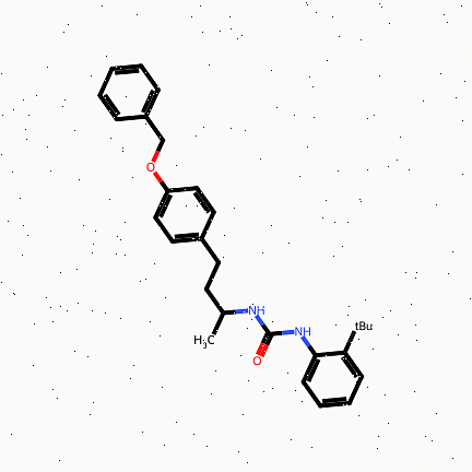 CC(CCc1ccc(OCc2ccccc2)cc1)NC(=O)Nc1ccccc1C(C)(C)C